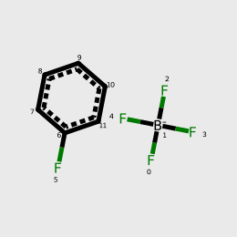 F[B-](F)(F)F.Fc1ccccc1